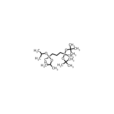 CC(C)O[Si](C)(CCC[Si](C)(OC(C)(C)C)OC(C)(C)C)OC(C)C